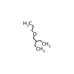 CC[CH]OCC(CC)CC